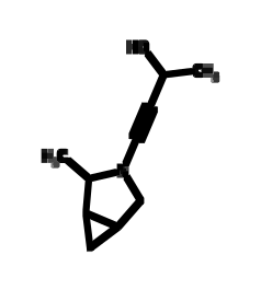 CC(O)C#CN1CC2CC2C1C